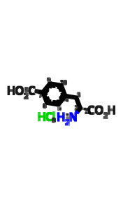 Cl.N[C@H](Cc1ccc(C(=O)O)cc1)C(=O)O